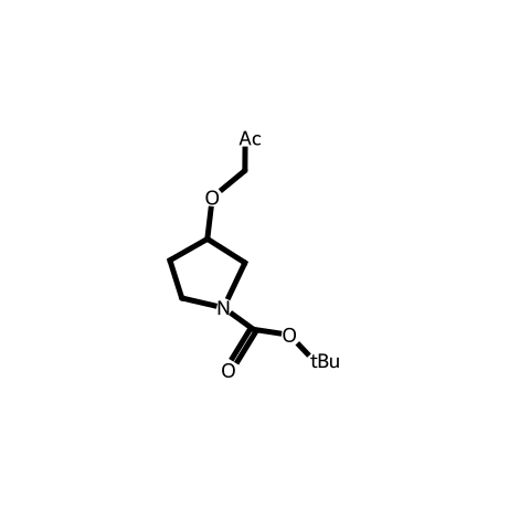 CC(=O)COC1CCN(C(=O)OC(C)(C)C)C1